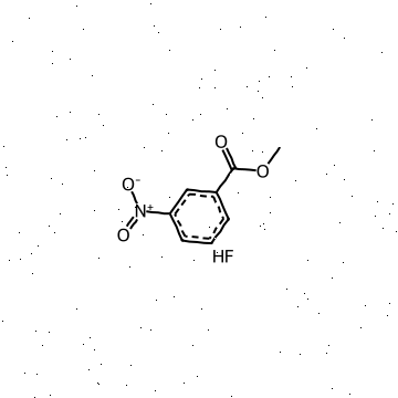 COC(=O)c1cccc([N+](=O)[O-])c1.F